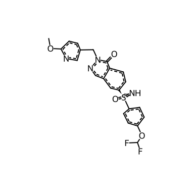 COc1ccc(Cn2ncc3cc([S@](=N)(=O)c4ccc(OC(F)F)cc4)ccc3c2=O)cn1